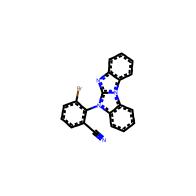 N#Cc1cccc(Br)c1-n1c2ccccc2n2c3ccccc3nc12